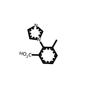 Cc1cccc(C(=O)O)c1-n1ccnc1